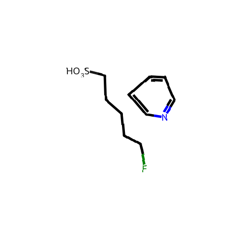 O=S(=O)(O)CCCCCF.c1ccncc1